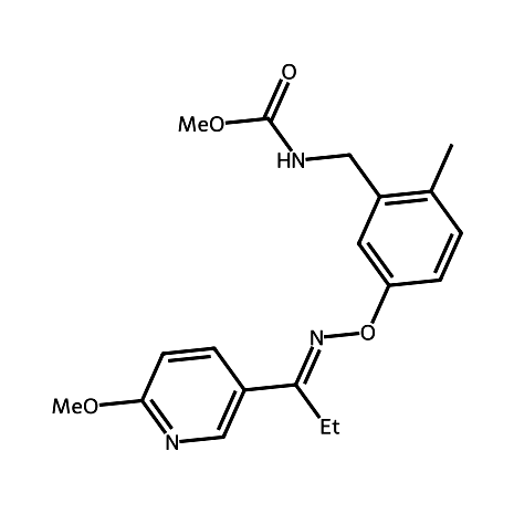 CC/C(=N\Oc1ccc(C)c(CNC(=O)OC)c1)c1ccc(OC)nc1